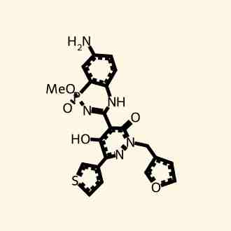 COP1(=O)N=C(c2c(O)c(-c3ccsc3)nn(Cc3ccoc3)c2=O)Nc2ccc(N)cc21